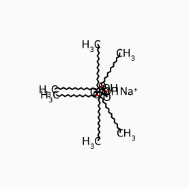 CCCCCCCCCCCCCCCC(CCCCCCCCCCCCCC)(CCCCCCCCCCCCCCC)C(C(=O)O)C(C(=O)[O-])(C(CCCCCCCCCCCCCC)(CCCCCCCCCCCCCCC)CCCCCCCCCCCCCCC)S(=O)(=O)O.[Na+]